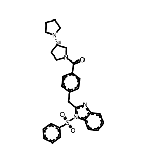 O=C(c1ccc(Cc2nc3ccccc3n2S(=O)(=O)c2ccccc2)cc1)N1CC[C@H](N2CCCC2)C1